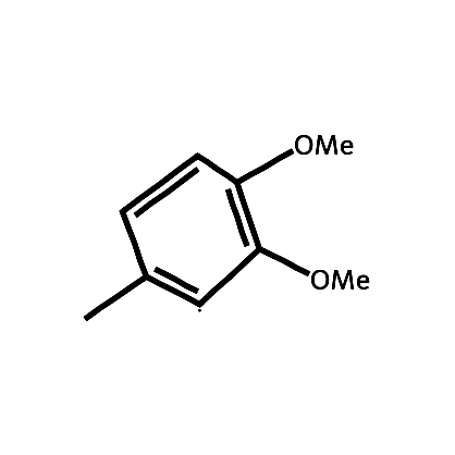 COc1[c]c(C)ccc1OC